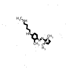 CNCCCCNc1ccc(/N=N/c2n(C)cc[n+]2C)c(C)c1